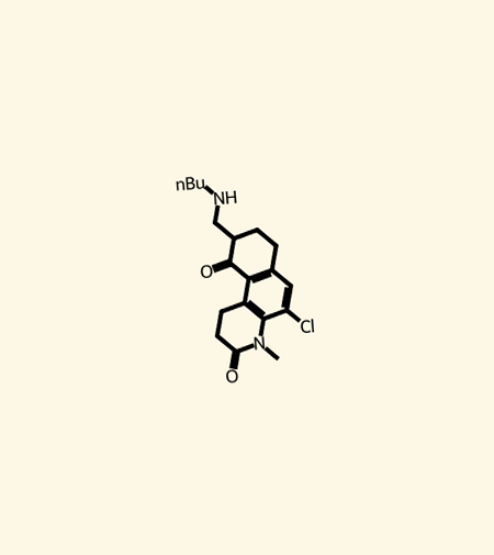 CCCCNCC1CCc2cc(Cl)c3c(c2C1=O)CCC(=O)N3C